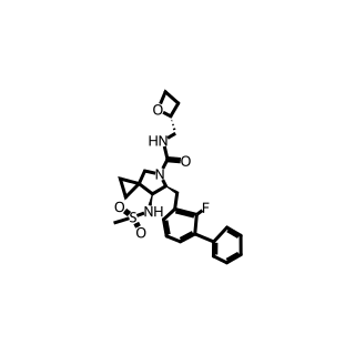 CS(=O)(=O)N[C@@H]1[C@H](Cc2cccc(-c3ccccc3)c2F)N(C(=O)NC[C@H]2CCO2)CC12CC2